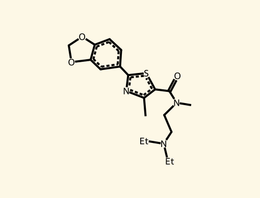 CCN(CC)CCN(C)C(=O)c1sc(-c2ccc3c(c2)OCO3)nc1C